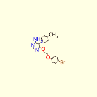 Cc1ccc(-c2c(N)ncnc2OCCOc2ccc(Br)cc2)cc1